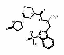 CC(C)C[C@H](NC(=O)[C@@H]1CCC(=O)N1)C(=O)N[C@@H](Cc1cn(P(=O)(O)O)c2ccccc12)C(=O)O